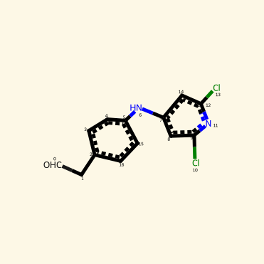 O=CCc1ccc(Nc2cc(Cl)nc(Cl)c2)cc1